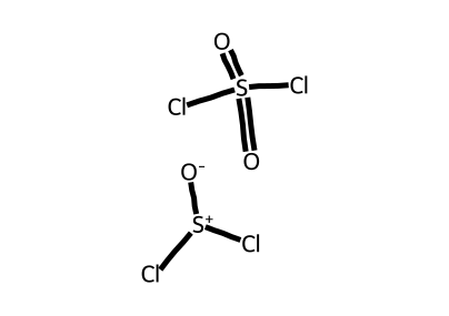 O=S(=O)(Cl)Cl.[O-][S+](Cl)Cl